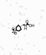 CS(=O)(=O)[C@H]1CC[C@H](CNC(=O)O)CC1